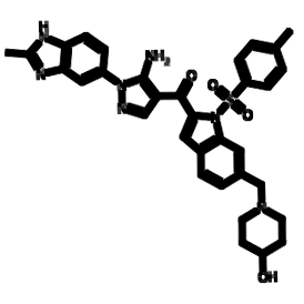 Cc1ccc(S(=O)(=O)n2c(C(=O)c3cnn(-c4ccc5[nH]c(C)nc5c4)c3N)cc3ccc(CN4CCC(O)CC4)cc32)cc1